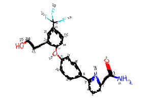 NC(=O)c1cccc(-c2ccc(Oc3ccc(C(F)(F)F)cc3CCO)cc2)n1